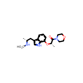 C[C@H](Cc1c[nH]c2c(O[C@@H](C)C(=O)N3CCOCC3)cccc12)NC(=O)O